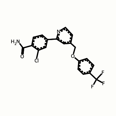 NC(=O)c1ccc(-c2cc(COc3ccc(C(F)(F)F)cc3)ccn2)cc1Cl